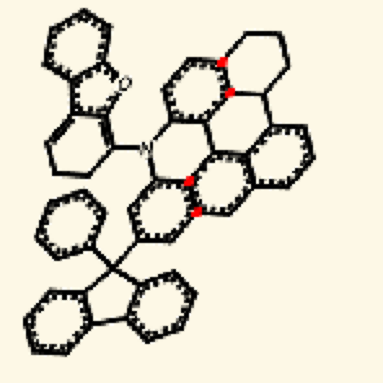 C1=c2c(oc3ccccc23)=C(N(c2cccc(C3(c4ccccc4)c4ccccc4-c4ccccc43)c2)c2ccccc2-c2cccc3cccc(C4CCCCC4)c23)CC1